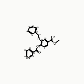 COC(=O)c1ccc(OC(=O)c2cccnc2)c(OCc2ccccc2)c1